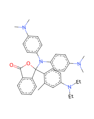 CCN(CC)c1ccc(C2(N(c3ccc(N(C)C)cc3)c3ccc(N(C)C)cc3)OC(=O)c3ccccc32)c(C)c1